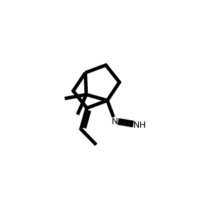 CC=C1CC2CCC1(N=N)C2(C)C